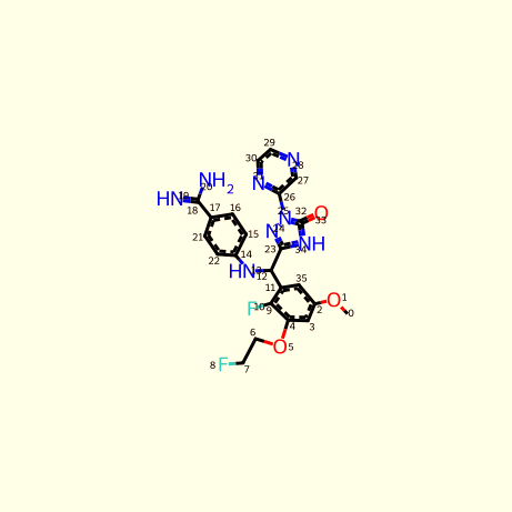 COc1cc(OCCF)c(F)c(C(Nc2ccc(C(=N)N)cc2)c2nn(-c3cnccn3)c(=O)[nH]2)c1